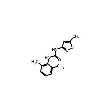 Cc1cc(NC(=O)Nc2c(C)cccc2C)no1